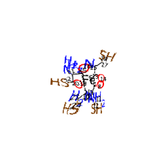 NC(CS)[C](=O)[Fe]([C](=O)C(N)CS)([C](=O)C(N)CS)[C](=O)C(N)CS